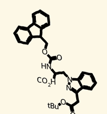 CC(C)(C)OC(=O)Cc1nn(CC(NC(=O)OCC2c3ccccc3-c3ccccc32)C(=O)O)c2ccccc12